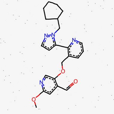 COc1cc(C=O)c(OCc2cccnc2-c2ccnn2CC2CCCCC2)cn1